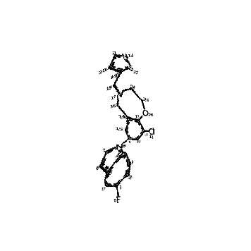 Fc1ccc2c(ccn2-c2cc(Cl)c3c(c2)CN(Cc2ccns2)CCO3)c1